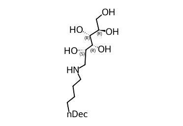 CCCCCCCCCCCCCCNC[C@H](O)[C@@H](O)[C@H](O)[C@H](O)CO